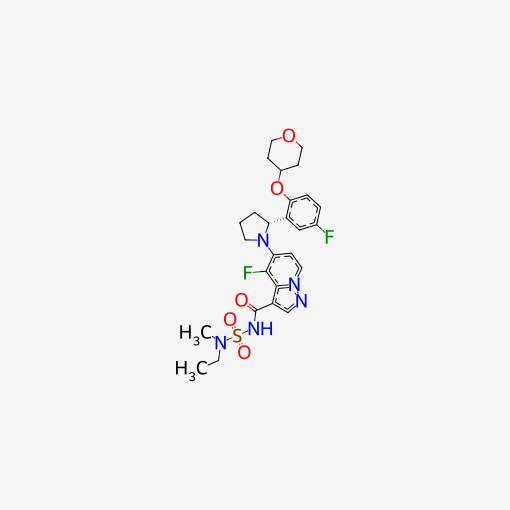 CCN(C)S(=O)(=O)NC(=O)c1cnn2ccc(N3CCC[C@@H]3c3cc(F)ccc3OC3CCOCC3)c(F)c12